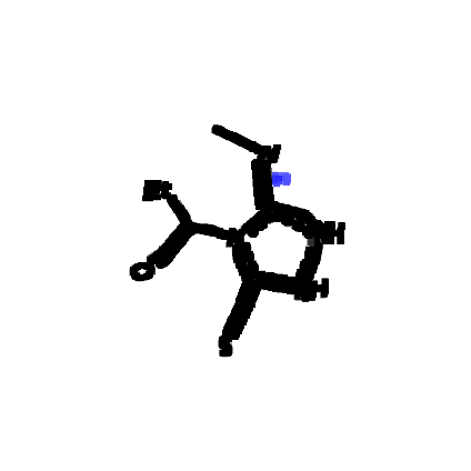 CCC(=O)n1c(=S)[nH][nH]/c1=N/C